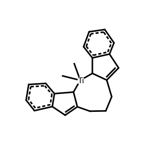 [CH3][Ti]1([CH3])[CH]2C(=Cc3ccccc32)CCCC2=Cc3ccccc3[CH]21